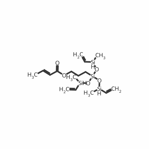 C=C[SiH](C)O[Si](CCCOC(=O)C=CC)(O[SiH](C)C=C)O[SiH](C)C=C